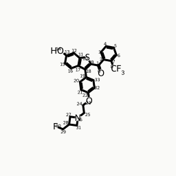 O=C(c1ccccc1C(F)(F)F)c1sc2cc(O)ccc2c1-c1ccc(OCCN2CC(CF)C2)cc1